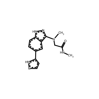 CNC(=O)CN(C)c1n[nH]c2ccc(-c3ccn[nH]3)cc12